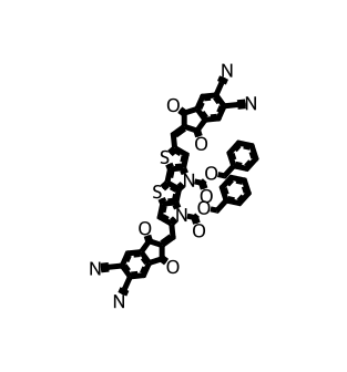 N#Cc1cc2c(cc1C#N)C(=O)C(=Cc1cc3c(s1)c1sc4cc(C=C5C(=O)c6cc(C#N)c(C#N)cc6C5=O)n(C(=O)OCc5ccccc5)c4c1n3C(=O)OCc1ccccc1)C2=O